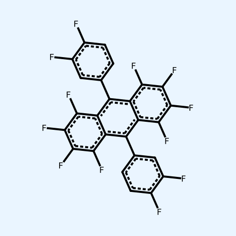 Fc1ccc(-c2c3c(F)c(F)c(F)c(F)c3c(-c3ccc(F)c(F)c3)c3c(F)c(F)c(F)c(F)c23)cc1F